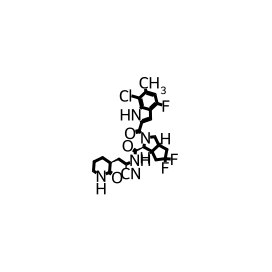 Cc1cc(F)c2cc(C(=O)N3C[C@@H]4CC(F)(F)C[C@@H]4[C@H]3C(=O)N[C@H](C#N)C[C@@H]3CCCNC3=O)[nH]c2c1Cl